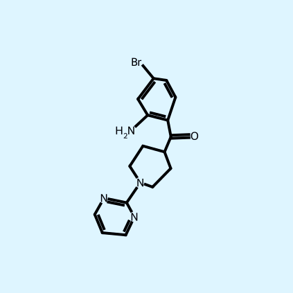 Nc1cc(Br)ccc1C(=O)C1CCN(c2ncccn2)CC1